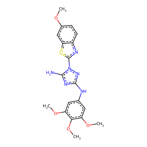 COc1ccc2nc(-n3nc(Nc4cc(OC)c(OC)c(OC)c4)nc3N)sc2c1